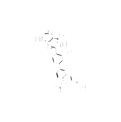 CCOc1cc(-c2ccc(OC(C)C)c(/C=C(\C)C(=O)O)c2)ccc1-c1nc2[nH]cnc2c(=O)[nH]1